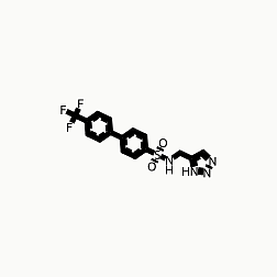 O=S(=O)(NCc1cnn[nH]1)c1ccc(-c2ccc(C(F)(F)F)cc2)cc1